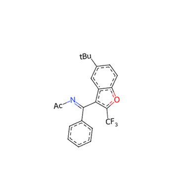 CC(=O)N=C(c1ccccc1)c1c(C(F)(F)F)oc2ccc(C(C)(C)C)cc12